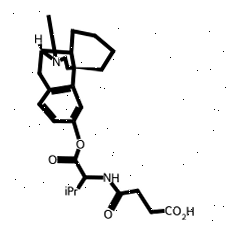 CC(C)C(NC(=O)CCC(=O)O)C(=O)Oc1ccc2c(c1)[C@@]13CCCCC1[C@@H](C2)N(C)CC3